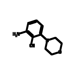 N#Cc1c(N)cccc1N1CCOCC1